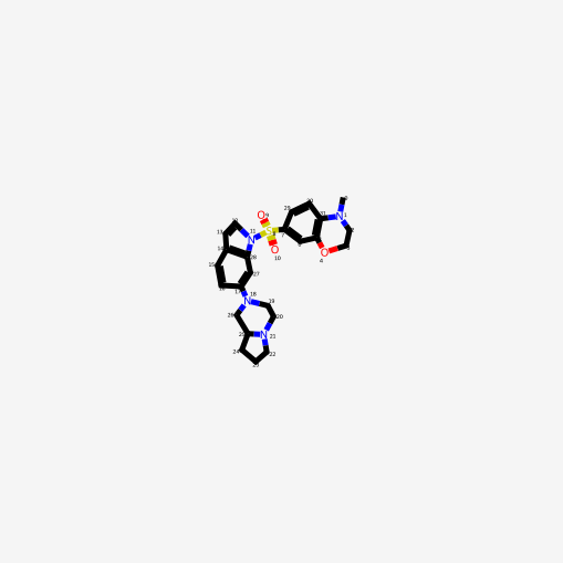 CN1CCOc2cc(S(=O)(=O)n3ccc4ccc(N5CCN6CCCC6C5)cc43)ccc21